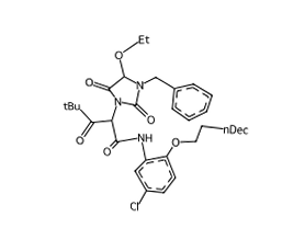 CCCCCCCCCCCCOc1ccc(Cl)cc1NC(=O)C(C(=O)C(C)(C)C)N1C(=O)C(OCC)N(Cc2ccccc2)C1=O